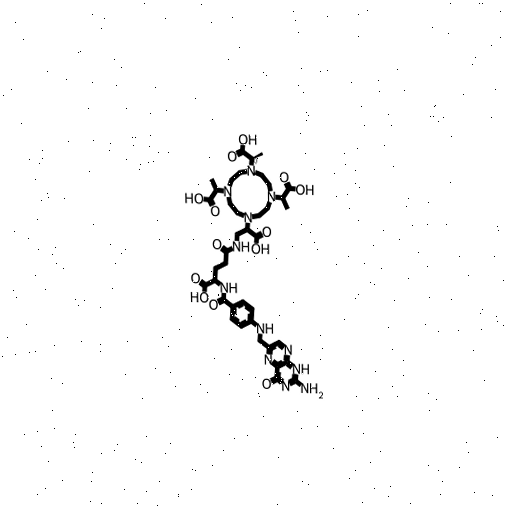 CC(C(=O)O)N1CCN(C(CNC(=O)CCC(NC(=O)c2ccc(NCc3cnc4[nH]c(N)nc(=O)c4n3)cc2)C(=O)O)C(=O)O)CCN(C(C)C(=O)O)CCN([C@H](C)C(=O)O)CC1